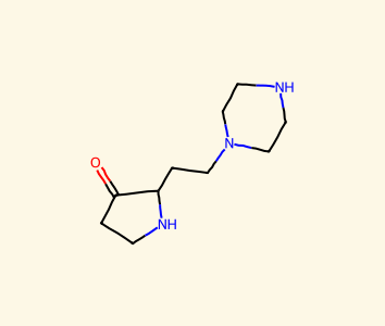 O=C1CCNC1CCN1CCNCC1